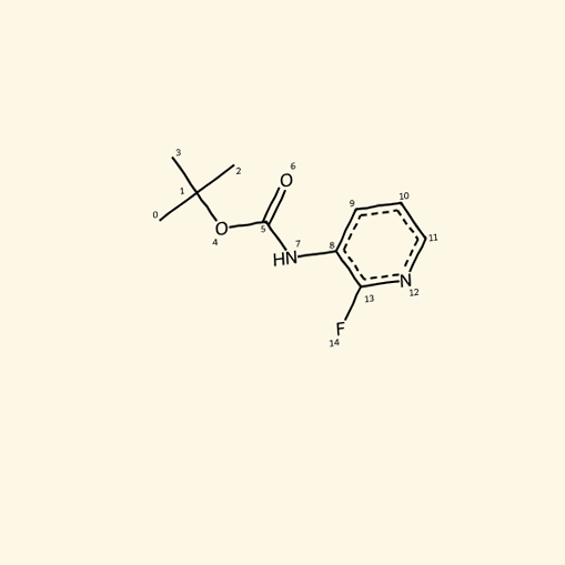 CC(C)(C)OC(=O)Nc1cccnc1F